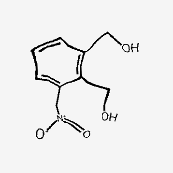 O=[N+]([O-])c1cccc(CO)c1CO